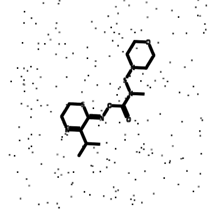 CC(C)C1=NCCSC1=NOC(=O)N(C)SN1CCOCC1